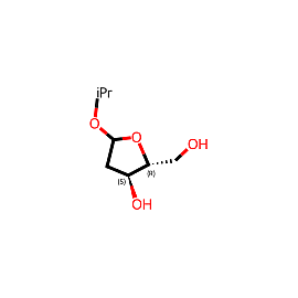 CC(C)OC1C[C@H](O)[C@@H](CO)O1